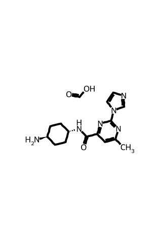 Cc1cc(C(=O)N[C@H]2CC[C@H](N)CC2)nc(-n2ccnc2)n1.O=CO